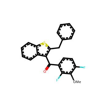 COc1c(F)ccc(C(=O)c2c(Cc3ccccc3)sc3ccccc23)c1F